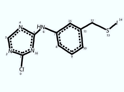 Clc1ncnc(Nc2cccc(CSI)c2)n1